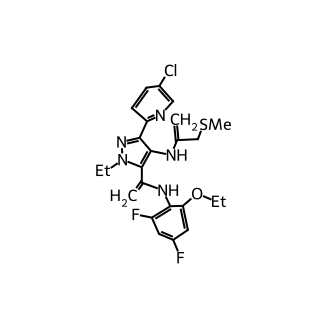 C=C(CSC)Nc1c(-c2ccc(Cl)cn2)nn(CC)c1C(=C)Nc1c(F)cc(F)cc1OCC